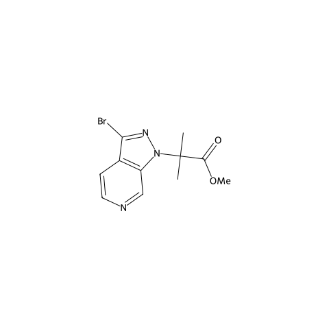 COC(=O)C(C)(C)n1nc(Br)c2ccncc21